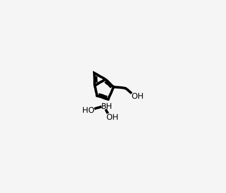 OBO.OCc1ccc2cc1-2